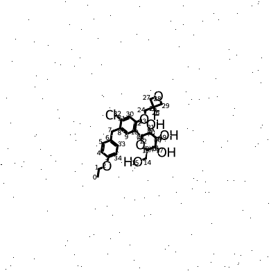 CCOc1ccc(Cc2cc([C@@H]3O[C@H](CO)[C@@H](O)[C@H](O)[C@H]3O)c(OCC3(F)COC3)cc2Cl)cc1